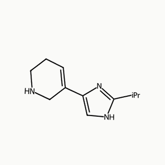 CC(C)c1nc(C2=CCCNC2)c[nH]1